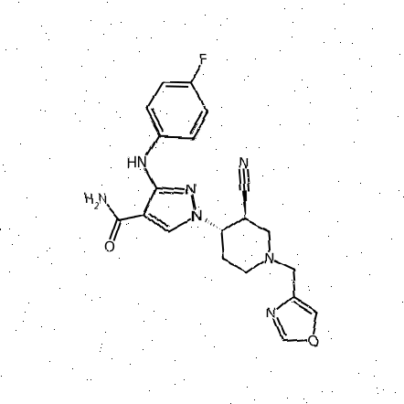 N#C[C@H]1CN(Cc2cocn2)CC[C@@H]1n1cc(C(N)=O)c(Nc2ccc(F)cc2)n1